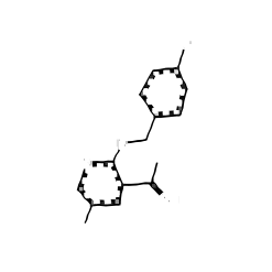 CCc1cnc(NCc2ccc(O)cc2)c(C(=N)I)c1